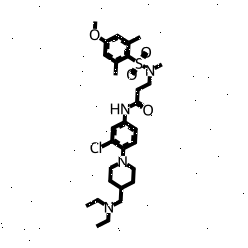 CCN(CC)CC1CCN(c2ccc(NC(=O)CCN(C)S(=O)(=O)c3c(C)cc(OC)cc3C)cc2Cl)CC1